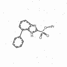 CCCOS(=O)(=O)c1nc2cccc(-c3ccccc3)c2[nH]1